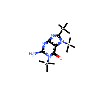 C[Si](C)(C)c1nc2nc(N)n([Si](C)(C)C)c(=O)c2n1[Si](C)(C)C